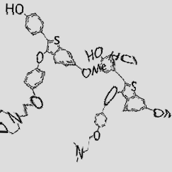 COc1ccc2c(Oc3ccc(OCCN(C)C)cc3)c(-c3ccc(O)cc3)sc2c1.COc1ccc2c(Oc3ccc(OCCN4CCOCC4)cc3)c(-c3ccc(O)cc3)sc2c1.Cl